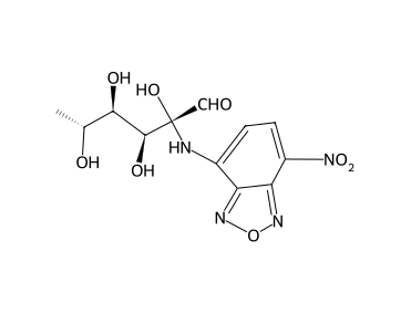 C[C@@H](O)[C@@H](O)[C@H](O)[C@@](O)(C=O)Nc1ccc([N+](=O)[O-])c2nonc12